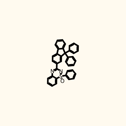 O=S1(c2ccccc2)=NC(c2ccc3c(c2)C(c2ccccc2)(c2ccccc2)c2ccccc2-3)=Nc2ccccc21